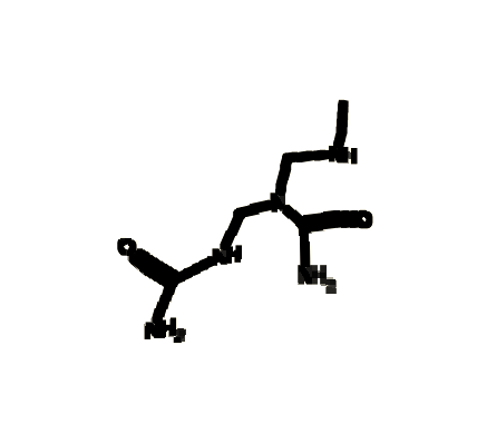 CNCN(CNC(N)=O)C(N)=O